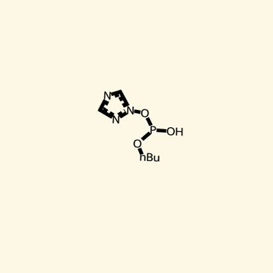 CCCCOP(O)On1cncn1